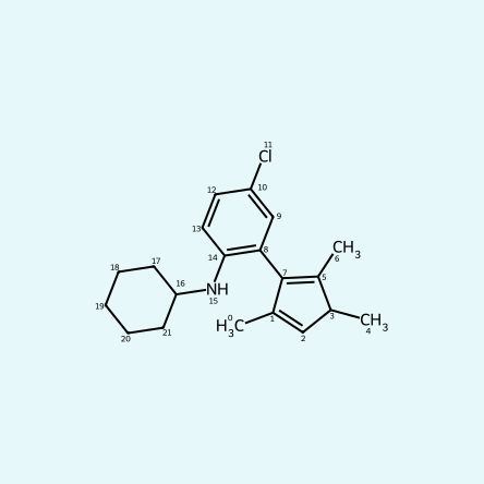 CC1=CC(C)C(C)=C1c1cc(Cl)ccc1NC1CCCCC1